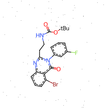 CC(C)(C)OC(=O)NCCc1nc2cccc(Br)c2c(=O)n1-c1cccc(F)c1